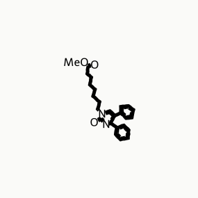 COC(=O)CCCCCCCn1cc(-c2ccccc2)c(-c2ccccc2)nc1=O